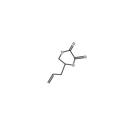 C=CCC1COC(=O)C(=O)O1